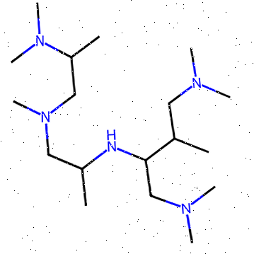 CC(CN(C)CC(C)N(C)C)NC(CN(C)C)C(C)CN(C)C